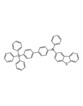 c1ccc(N(c2ccc(-c3ccc([Si](c4ccccc4)(c4ccccc4)c4ccccc4)cc3)cc2)c2ccc3sc4ccccc4c3c2)cc1